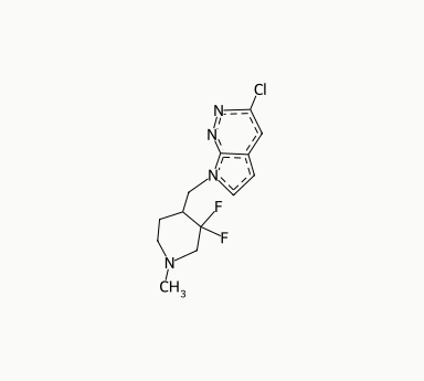 CN1CCC(Cn2ccc3cc(Cl)nnc32)C(F)(F)C1